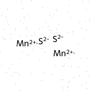 [Mn+2].[Mn+2].[S-2].[S-2]